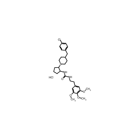 COc1cc(CCNC(=O)NC2CCCC2N2CCC(Cc3ccc(Cl)cc3)CC2)cc(OC)c1OC.Cl